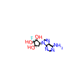 Nc1ncnc2c1ncn2[C@H]1C[C@@H](O)[C@@](O)(F)[C@@H]1O